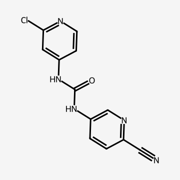 N#Cc1ccc(NC(=O)Nc2ccnc(Cl)c2)cn1